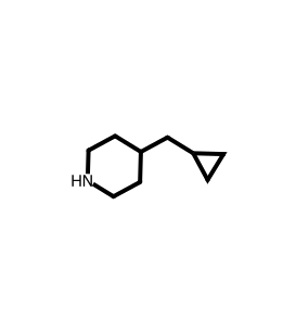 C1CC(CC2CC2)CCN1